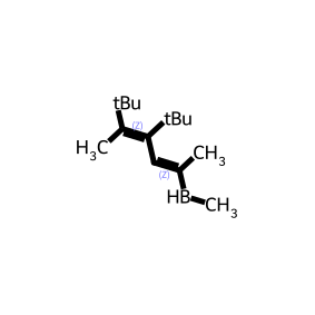 CB/C(C)=C/C(=C(\C)C(C)(C)C)C(C)(C)C